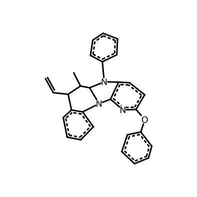 C=CC1c2ccccc2N2c3nc(Oc4ccccc4)ccc3N(c3ccccc3)C2C1C